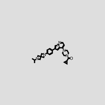 CC(C)N1CC2(CN(c3ccc(-c4cc5c(N6CCN(C(=O)C7CC7)CC6)ccnn5c4)cc3)C2)C1